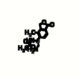 Cc1c([C@H](CN)NS(C)(=O)=O)ccc2c1COC2=O